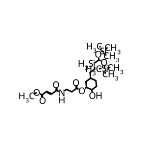 COC(=O)/C=C/C(=O)NCCC(=O)OC1CC(CC[SiH2]C(O[Si](C)(C)C)O[Si](C)(C)C)CCC1O